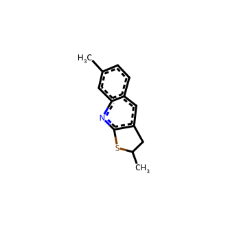 Cc1ccc2cc3c(nc2c1)SC(C)C3